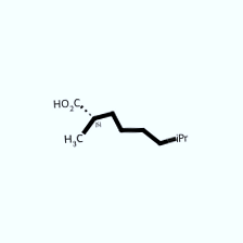 CC(C)CCCC[C@H](C)C(=O)O